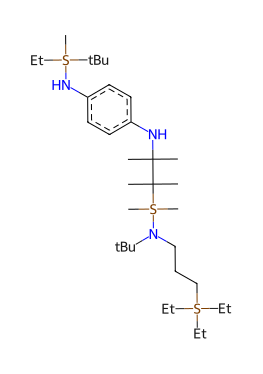 CCS(CC)(CC)CCCN(C(C)(C)C)S(C)(C)C(C)(C)C(C)(C)Nc1ccc(NS(C)(CC)C(C)(C)C)cc1